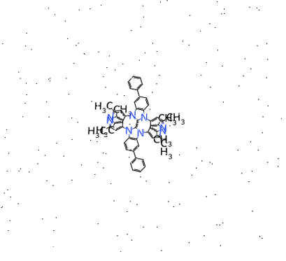 Cc1cc(N2/C(=C3/N(c4cc(C)nc(C)c4)c4ccc(-c5ccccc5)cc4N3c3cc(C)nc(C)c3)N(c3cc(C)nc(C)c3)c3cc(-c4ccccc4)ccc32)cc(C)n1